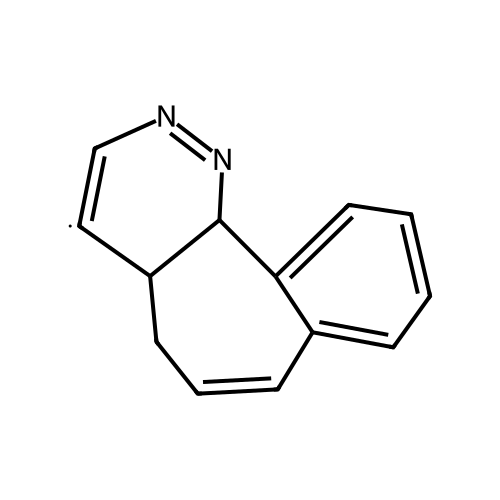 [C]1=CN=NC2c3ccccc3C=CCC12